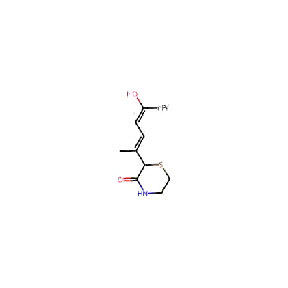 CCC/C(O)=C\C=C(/C)C1SCCNC1=O